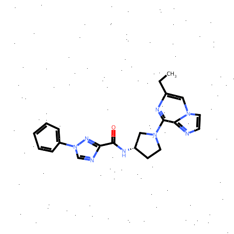 CCc1cn2ccnc2c(N2CC[C@H](NC(=O)c3ncn(-c4ccccc4)n3)C2)n1